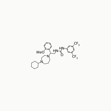 COc1ccccc1C(CNC(=O)Nc1cc(C(F)(F)F)cc(C(F)(F)F)c1)N1CCCN(C2CCCCC2)CC1